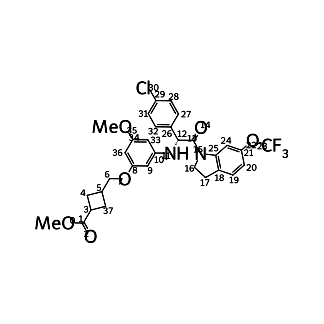 COC(=O)C1CC(COc2cc(N[C@@H](C(=O)N3CCc4ccc(OC(F)(F)F)cc43)c3ccc(Cl)cc3)cc(OC)c2)C1